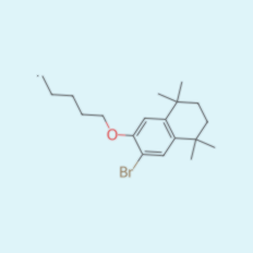 [CH2]CCCCOc1cc2c(cc1Br)C(C)(C)CCC2(C)C